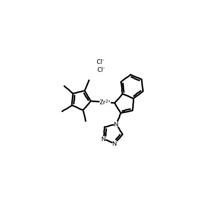 CC1=C(C)C(C)[C]([Zr+2][CH]2C(n3cnnc3)=Cc3ccccc32)=C1C.[Cl-].[Cl-]